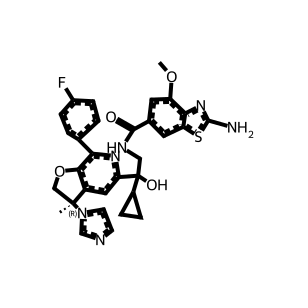 COc1cc(C(=O)NCC(O)(c2cc3c(c(-c4ccc(F)cc4)n2)OC[C@]3(C)n2ccnc2)C2CC2)cc2sc(N)nc12